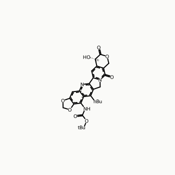 CCCCc1c2c(nc3cc4c(c(NC(=O)OC(C)(C)C)c13)OCO4)-c1cc3c(c(=O)n1C2)COC(=O)[C@H]3O